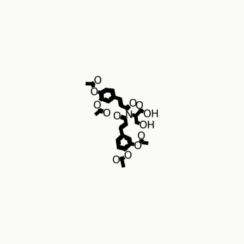 CC(=O)Oc1ccc(/C=C/C(=O)N(C(=O)/C=C/c2ccc(OC(C)=O)c(OC(C)=O)c2)C(CO)C(=O)O)cc1OC(C)=O